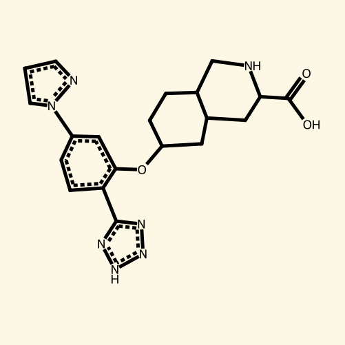 O=C(O)C1CC2CC(Oc3cc(-n4cccn4)ccc3-c3nn[nH]n3)CCC2CN1